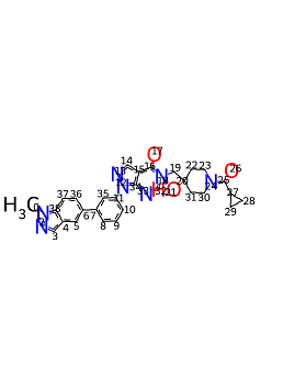 Cn1ncc2cc(-c3cccc(-n4ncc5c(=O)n(CC6(O)CCN(C(=O)C7CC7)CC6)cnc54)c3)ccc21